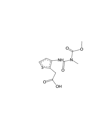 COC(=O)N(C)C(=O)Nc1ccsc1CC(=O)O